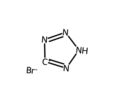 [Br-].[C+]1=NNN=N1